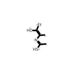 CC/C(O)=C(C)/N=C(\C)S